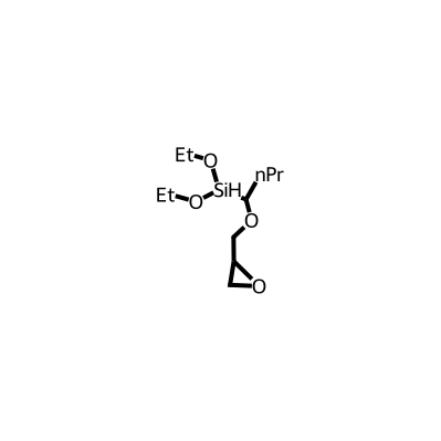 CCCC(OCC1CO1)[SiH](OCC)OCC